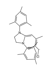 CC(C=C1N(c2c(C)cc(C)cc2C)CCN1c1c(C)cc(C)cc1C)=C(Cl)[C]Cl